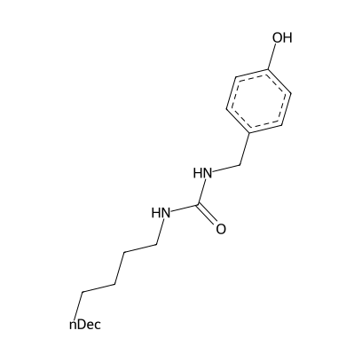 CCCCCCCCCCCCCCNC(=O)NCc1ccc(O)cc1